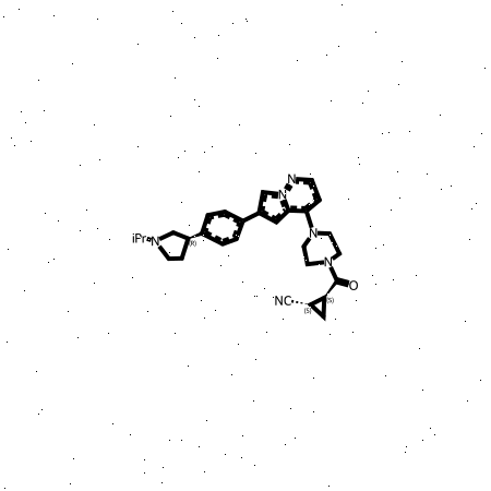 CC(C)N1CC[C@H](c2ccc(-c3cc4c(N5CCN(C(=O)[C@H]6C[C@@H]6C#N)CC5)ccnn4c3)cc2)C1